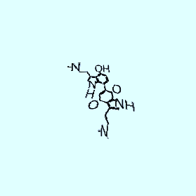 CN(C)CCc1c[nH]c2c1C(=O)C=C(c1ccc(O)c3c(CCN(C)C)c[nH]c13)C2=O